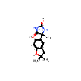 CC1(C)Cc2cc(C3(C)NC(=O)NC3=O)ccc2O1